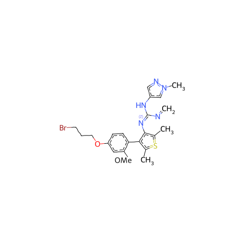 C=N/C(=N\c1c(C)sc(C)c1-c1ccc(OCCCBr)cc1OC)Nc1cnn(C)c1